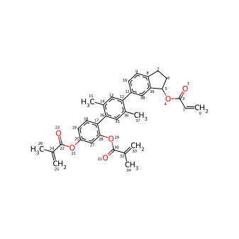 C=CC(=O)OC1CCc2ccc(-c3cc(C)c(-c4ccc(OC(=O)C(=C)C)cc4OC(=O)C(=C)C)cc3C)cc21